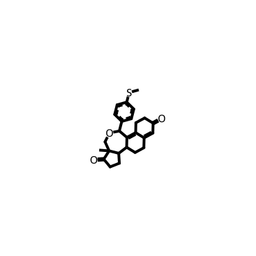 CSc1ccc(C2OCC3(C)C(=O)CCC3C3CCC4=CC(=O)CCC4=C23)cc1